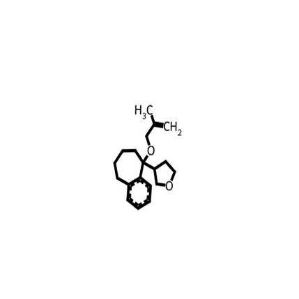 C=C(C)COC1(C2CCOC2)CCCCc2ccccc21